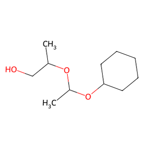 CC(CO)OC(C)OC1CCCCC1